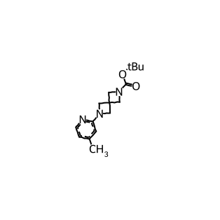 Cc1ccnc(N2CC3(CN(C(=O)OC(C)(C)C)C3)C2)c1